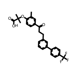 Cc1cc(C(=O)CCc2cccc(-c3ccc(C(F)(F)F)cc3)c2)ccc1OC(C)(C)C(=O)O